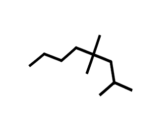 CCCCC(C)(C)C[C](C)C